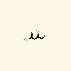 CC(=O)CC(=O)CC(=O)C(=O)O.[Ti]